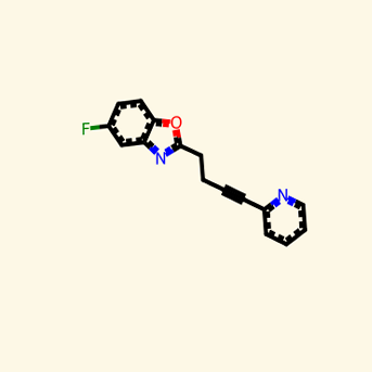 Fc1ccc2oc(CCC#Cc3ccccn3)nc2c1